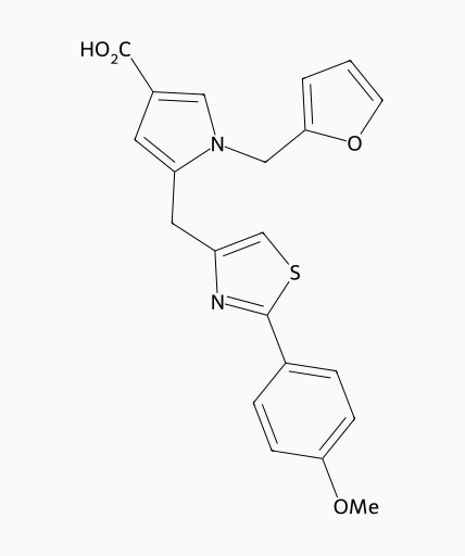 COc1ccc(-c2nc(Cc3cc(C(=O)O)cn3Cc3ccco3)cs2)cc1